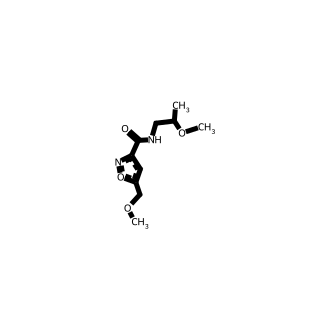 COCc1cc(C(=O)NCC(C)OC)no1